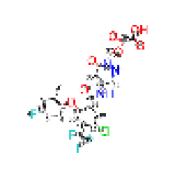 Cc1cc(F)ccc1Oc1cc(C(F)(F)F)c(Cl)cc1C(=O)Nc1cnn(COC(=O)C(=O)O)c(=O)c1